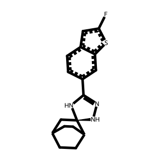 Fc1cc2ccc(C3=NN[C@@]4(CC5CCC4CC5)N3)cc2s1